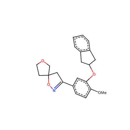 COc1ccc(C2=NOC3(CCOC3)C2)cc1OC1Cc2ccccc2C1